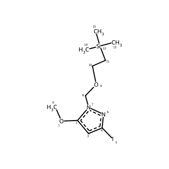 COc1cc(I)nn1COCC[Si](C)(C)C